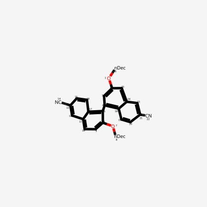 CCCCCCCCCCOc1cc(-c2c(OCCCCCCCCCC)ccc3cc(C#N)ccc23)c2ccc(C#N)cc2c1